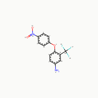 Nc1ccc(Oc2ccc([N+](=O)[O-])cc2)c(C(F)(F)F)c1